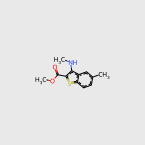 CNc1c(C(=O)OC)sc2ccc(C)cc12